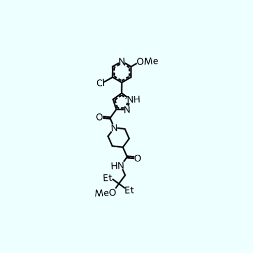 CCC(CC)(CNC(=O)C1CCN(C(=O)c2cc(-c3cc(OC)ncc3Cl)[nH]n2)CC1)OC